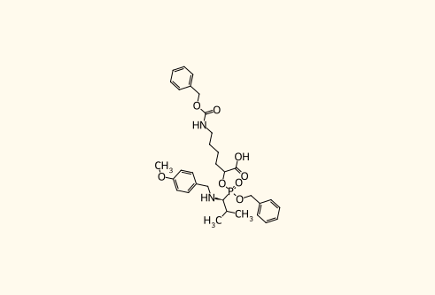 COc1ccc(CN[C@H](C(C)C)P(=O)(OCc2ccccc2)OC(CCCCNC(=O)OCc2ccccc2)C(=O)O)cc1